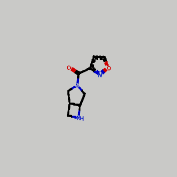 O=C(c1ccon1)N1CC2CNC2C1